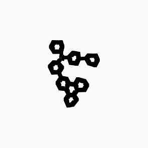 c1ccc(-c2ccc(N(c3ccccc3)c3cccc(-c4ccc5c6ccccc6c6ccccc6c5c4)c3)cc2)cc1